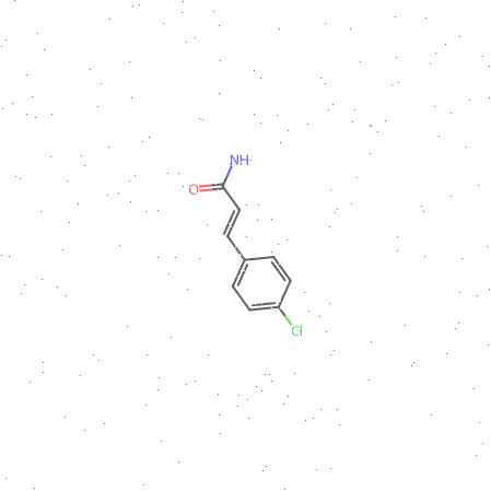 [NH]C(=O)C=Cc1ccc(Cl)cc1